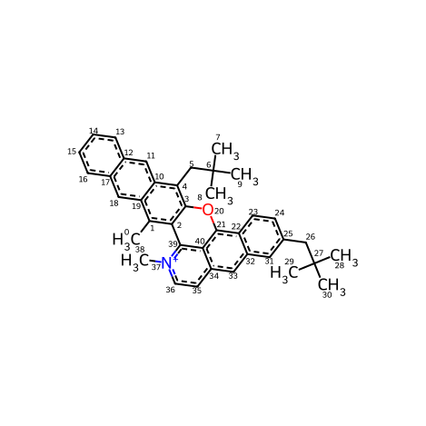 Cc1c2c(c(CC(C)(C)C)c3cc4ccccc4cc13)Oc1c3ccc(CC(C)(C)C)cc3cc3cc[n+](C)c-2c13